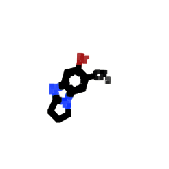 FC(F)(F)c1cc2c(cc1Br)nc1n2CCC1